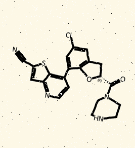 N#Cc1cc2nccc(-c3cc(Cl)cc4c3O[C@@H](C(=O)N3CCNCC3)C4)c2s1